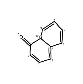 O=c1cccc2c[c]ccn12